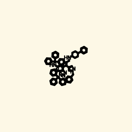 C(CNC1CCC(c2ccccc2)CC1)=C(c1cnn(Cc2ccccc2)c1)c1cc(NC(c2ccccc2)(c2ccccc2)c2ccccc2)nc2c1nnn2C(c1ccccc1)(c1ccccc1)c1ccccc1